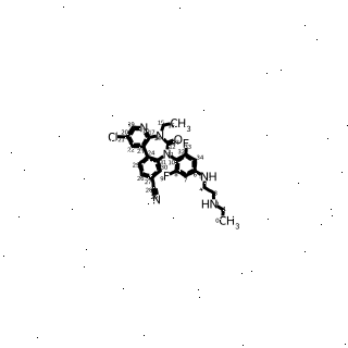 CCNCCNc1cc(F)c(N2C(=O)N(CC)c3ncc(Cl)cc3-c3ccc(C#N)cc32)c(F)c1